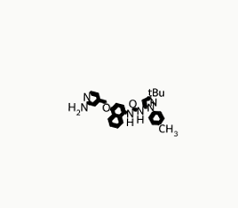 Cc1ccc(-n2nc(C(C)(C)C)cc2NC(=O)Nc2ccc(OCc3ccnc(N)c3)c3ccccc23)cc1